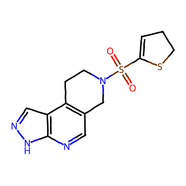 O=S(=O)(C1=CCCS1)N1CCc2c(cnc3[nH]ncc23)C1